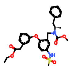 CCOC(=O)Cc1cccc(Oc2ccc(NS(C)(=O)=O)cc2CN(C(=O)OC)[C@@H](C)Cc2ccccc2)c1